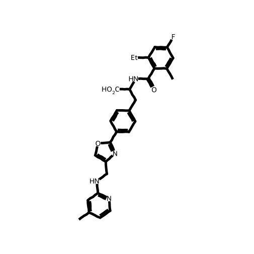 CCc1cc(F)cc(C)c1C(=O)NC(Cc1ccc(-c2nc(CNc3cc(C)ccn3)co2)cc1)C(=O)O